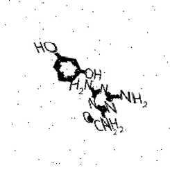 C=O.Nc1nc(N)nc(N)n1.Oc1cccc(O)c1